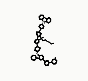 CCCCCCC1(C)c2cc(-c3ccc(-n4c5ccccc5c5ccccc54)cc3)ccc2-c2ccc(-c3ccc(-n4c5ccccc5c5cc(-c6cccc(-c7cccc(C)c7)c6)ccc54)cc3)cc21